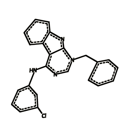 Clc1cccc(Nc2ncn(Cc3ccccc3)c3nc4ccccc4c2-3)c1